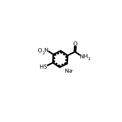 NC(=O)c1ccc(S)c([N+](=O)[O-])c1.[Na]